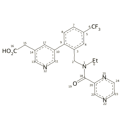 CCN(Cc1cc(C(F)(F)F)ccc1-c1cncc(CC(=O)O)c1)C(=O)c1cnccn1